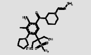 Cc1c(N)c(C(=O)C2CCCN(C=NN)C2)cc(C(CO)(CC=O)S(N)(=O)=O)c1N1CCCC1